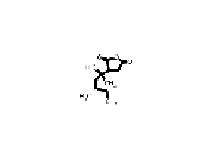 CC[C@H](C)CC(C)(C)C1CC(=O)OC1=O